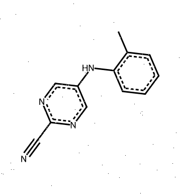 Cc1ccccc1Nc1cnc(C#N)nc1